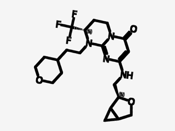 O=c1cc(NC[C@H]2OCC3CC32)nc2n1CC[C@@H](C(F)(F)F)N2CCC1CCOCC1